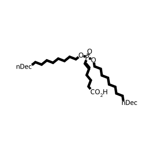 CCCCCCCCCCCCCCCCCCOP(=O)(C=CCCCC(=O)O)OCCCCCCCCCCCCCCCCCC